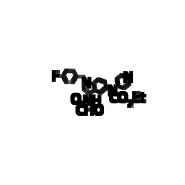 CCOC(=O)N(c1ccncc1)c1ccc2c(c1)c(NC(=O)C=O)cn2Cc1ccc(F)cc1